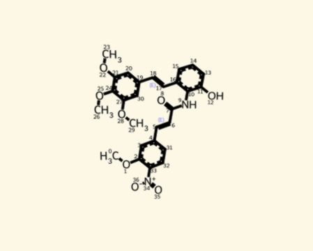 COc1cc(/C=C/C(=O)Nc2c(O)cccc2/C=C/c2cc(OC)c(OC)c(OC)c2)ccc1[N+](=O)[O-]